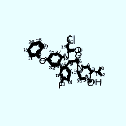 CC(C)[C@@H]1CN(C(=O)[C@H](c2ccc(F)cc2)N(C(=O)CCl)c2ccc(Oc3ccccc3)cc2)CCN1O